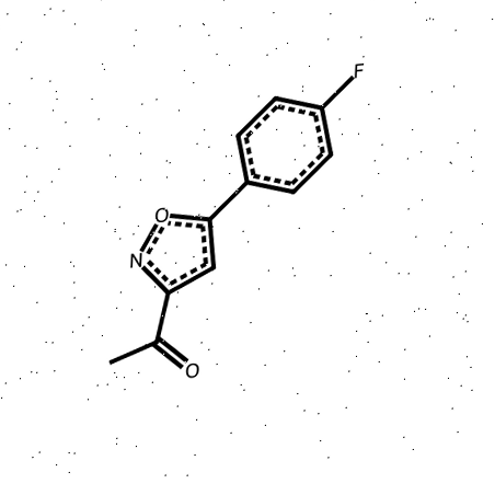 CC(=O)c1cc(-c2ccc(F)cc2)on1